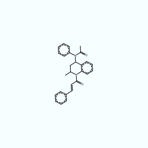 CC(=O)N(c1ccccc1)C1CC(C)N(C(=O)/C=C/c2ccccc2)c2ccccc21